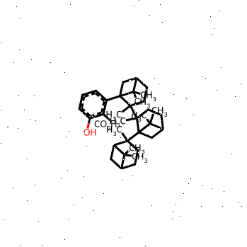 CC1(C)C2CCC(C)(C34CC(CCC3(C)C3(C)CCC5CC3(c3cccc(O)c3C(=O)O)C5(C)C)C4(C)C)C1C2